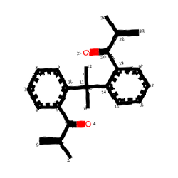 C=C(C)C(=O)c1ccccc1C(C)(C)c1ccccc1C(=O)C(=C)C